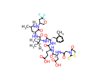 Cc1ccccc1C[C@H](NC(=O)[C@H](CCC(=O)O)NC(=O)[C@H](CC(=O)O)NC(=O)CN1C(=O)CSC1=S)C(=O)N[C@H](C(=O)N[C@@H](CC(C)C)C(=O)NC(C=O)CC(F)(F)F)C(C)(C)C